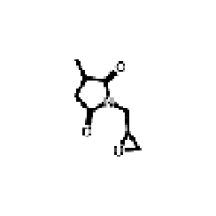 CC1CC(=O)N(CC2CO2)C1=O